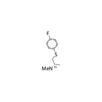 CN[C@@H](C)CSc1ccc(F)cc1